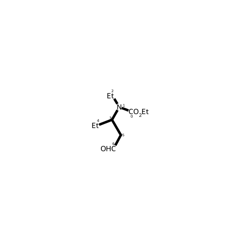 CCOC(=O)N(CC)C(CC)CC=O